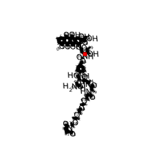 COc1cccc2c1C(=O)c1c(O)c3c(c(O)c1C2=O)C[C@@](O)(C(=O)CO)C[C@@H]3O[C@H]1C[C@H](NC(=O)OCc2ccc(NC(O)[C@@H](CC(N)=O)NC(=O)[C@@H](C)NC(=O)[C@@H](C)NC(=O)CCOCCOCCOCCOCCN3C(=O)C=CC3=O)cc2)[C@H](O)[C@H](C)O1